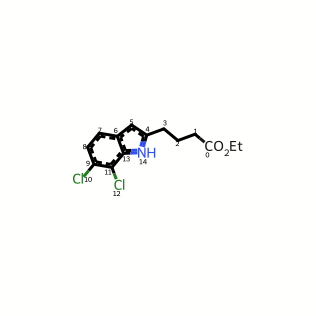 CCOC(=O)CCCc1cc2ccc(Cl)c(Cl)c2[nH]1